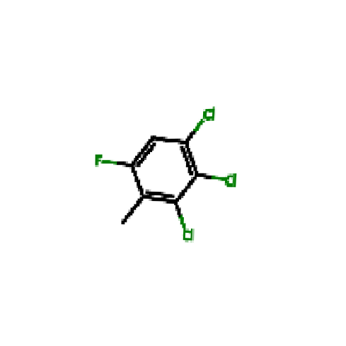 Cc1c(F)cc(Cl)c(Cl)c1Cl